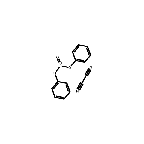 N#CC#N.O=[PH](Oc1ccccc1)Oc1ccccc1